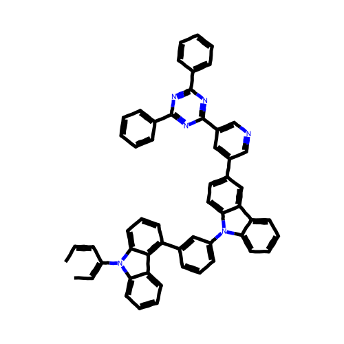 C/C=C\C(=C/C)n1c2ccccc2c2c(-c3cccc(-n4c5ccccc5c5cc(-c6cncc(-c7nc(-c8ccccc8)nc(-c8ccccc8)n7)c6)ccc54)c3)cccc21